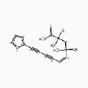 COC(=O)C(C)(C)CC(C)(C)/C=C\C#CC#Cc1ccco1